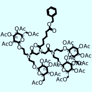 CC(=O)OC[C@@H]1O[C@@H](OCCN(CCO[C@H]2O[C@H](COC(C)=O)[C@@H](OC(C)=O)[C@H](OC(C)=O)[C@@H]2OC(C)=O)C(=O)CN(CC(=O)N(CCO[C@@H]2O[C@@H](COC(C)=O)[C@H](OC(C)=O)[C@@H](OC(C)=O)[C@H]2OC(C)=O)CCO[C@@H]2O[C@@H](COC(C)=O)[C@H](OC(C)=O)[C@@H](OC(C)=O)[C@H]2OC(C)=O)C(=O)CCCCC(=O)OCc2ccccc2)[C@H](OC(C)=O)[C@H](OC(C)=O)[C@H]1OC(C)=O